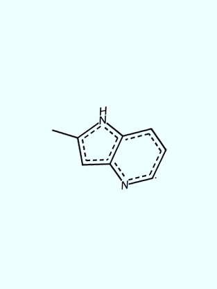 Cc1cc2n[c]ccc2[nH]1